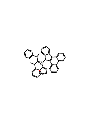 CC([C](C(C)c1ccccc1)=[Zr]([C]1=CC=CC1)[CH]1c2ccccc2-c2c1c1ccccc1c1ccccc21)c1ccccc1